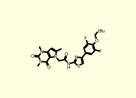 Cc1cc2c(c(=O)n(C)c(=O)n2C)n1CC(=O)Nc1nc(-c2cc(F)c(OCC(C)(C)C)c(F)c2)cs1